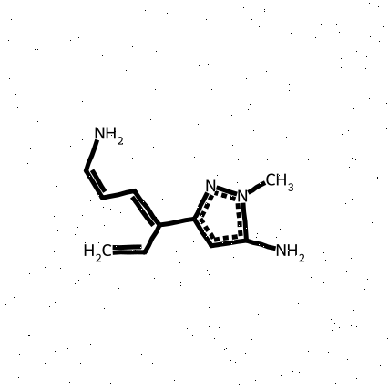 C=C/C(=C\C=C/N)c1cc(N)n(C)n1